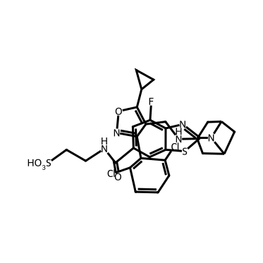 O=C(NCCS(=O)(=O)O)c1cc(F)c2nc(N3C4CC(NCc5c(-c6c(Cl)cccc6Cl)noc5C5CC5)CC3C4)sc2c1